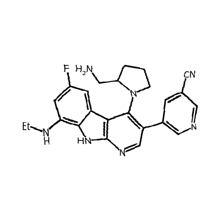 CCNc1cc(F)cc2c1[nH]c1ncc(-c3cncc(C#N)c3)c(N3CCCC3CN)c12